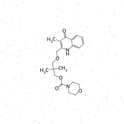 Cc1c(COCC(C)(C)COC(=O)N2CCOCC2)[nH]c2ccccc2c1=O